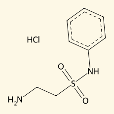 Cl.NCCS(=O)(=O)Nc1ccccc1